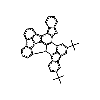 CC(C)(C)c1ccc2c(c1)c1cc(C(C)(C)C)cc3c1n2B1c2cccc4c5cccc6c7c8c(oc9ccccc98)c-3c1c7n(c24)c56